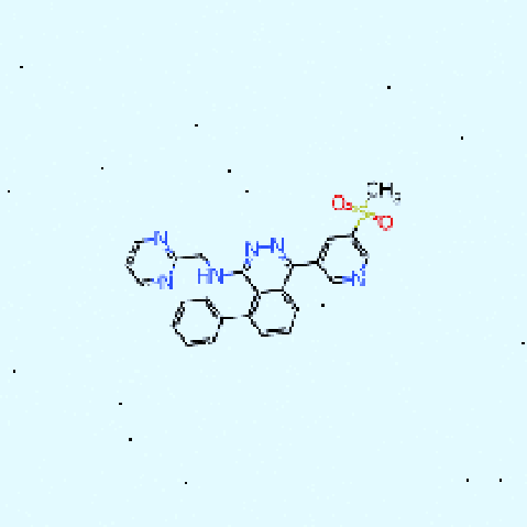 CS(=O)(=O)c1cncc(-c2nnc(NCc3ncccn3)c3c(-c4ccccc4)cccc23)c1